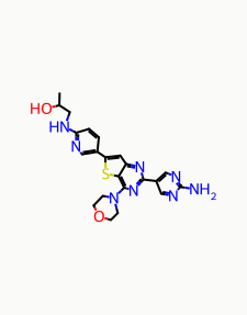 CC(O)CNc1ccc(-c2cc3nc(-c4cnc(N)nc4)nc(N4CCOCC4)c3s2)cn1